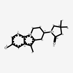 Cc1c2n(c3ncc(Cl)cc13)CCC(N1CC(C)(C)CC1=O)C2